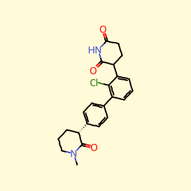 CN1CCC[C@H](c2ccc(-c3cccc(C4CCC(=O)NC4=O)c3Cl)cc2)C1=O